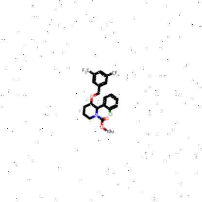 CC(C)(C)OC(=O)N1CCCC(OCc2cc(C(F)(F)F)cc(C(F)(F)F)c2)C1c1ccccc1Cl